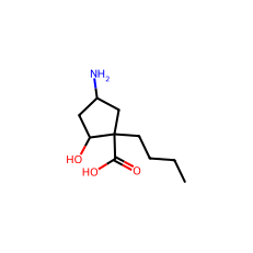 CCCCC1(C(=O)O)CC(N)CC1O